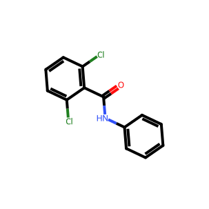 O=C(Nc1ccccc1)c1c(Cl)cccc1Cl